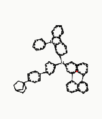 c1ccc(-c2cccc3cccc(-c4cccc(N(c5ccc(-c6ccc(C78CCC(CC7)C8)cc6)cc5)c5ccc6c7ccccc7n(-c7ccccc7)c6c5)c4)c23)cc1